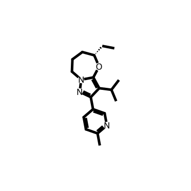 CC[C@H]1CCCn2nc(-c3ccc(C)nc3)c(C(C)C)c2O1